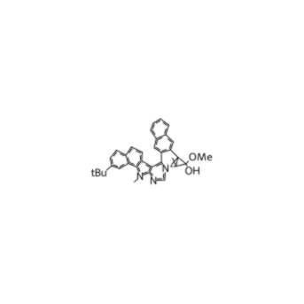 COC1(O)C2(C)c3cc4ccccc4cc3-c3c4c5ccc6ccc(C(C)(C)C)cc6c5n(C)c4nc[n+]3C12C